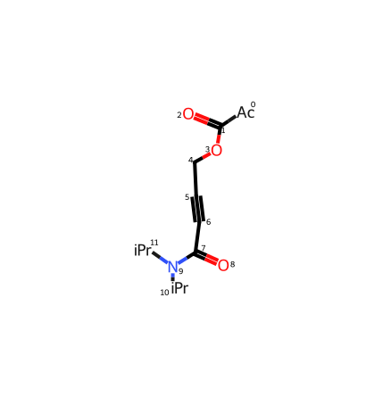 CC(=O)C(=O)OCC#CC(=O)N(C(C)C)C(C)C